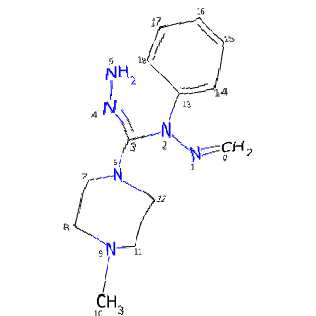 C=NN(/C(=N\N)N1CCN(C)CC1)c1ccccc1